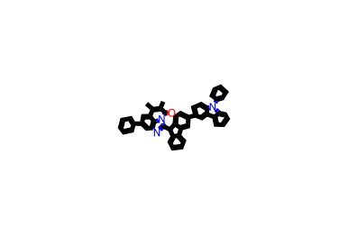 Cc1c(C)c2cc(-c3ccccc3)cc3nc(C4c5ccccc5-c5cc(-c6ccc7c(c6)c6ccccc6n7-c6ccccc6)ccc54)n(c1=O)c32